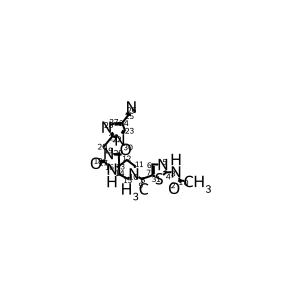 CC(=O)Nc1ncc([C@H](C)N2CCC3(CC2)NC(=O)N(Cc2ncc(C#N)cn2)C3=O)s1